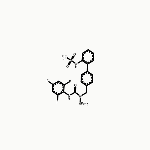 CCCCCN(Cc1ccc(-c2ccccc2NS(=O)(=O)C(F)(F)F)cc1)C(=O)Nc1c(F)cc(F)cc1F